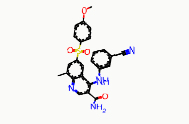 COc1ccc(S(=O)(=O)c2cc(C)c3ncc(C(N)=O)c(Nc4cccc(C#N)c4)c3c2)cc1